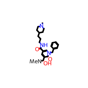 CNC(O)c1cc(C(=O)NCCCC2CCN(C)CC2)cn(Cc2ccccc2)c1=O